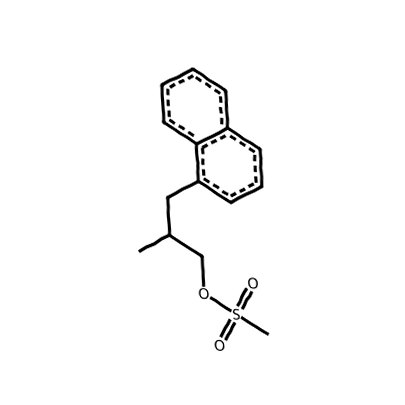 CC(COS(C)(=O)=O)Cc1cccc2ccccc12